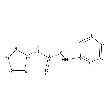 O=C(CNc1ccccc1)OC1CCCC1